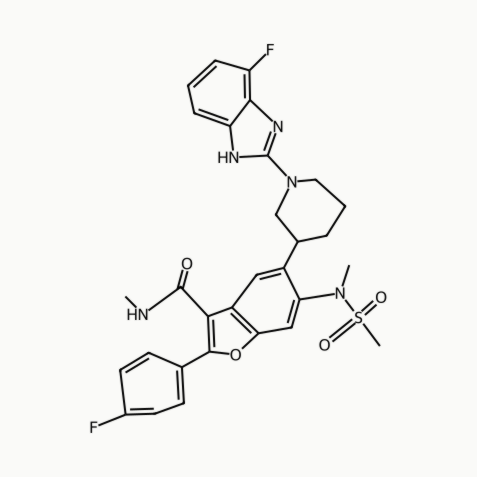 CNC(=O)c1c(-c2ccc(F)cc2)oc2cc(N(C)S(C)(=O)=O)c(C3CCCN(c4nc5c(F)cccc5[nH]4)C3)cc12